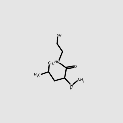 CNC(CC(C)C)C(=O)NCCS